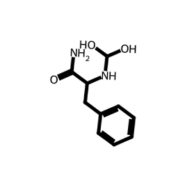 NC(=O)C(Cc1ccccc1)NC(O)O